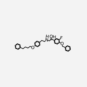 O[C@@H](CNCCc1ccc(OCCCCc2ccccc2)cc1)c1ccc(OCc2ccccc2)c(F)c1